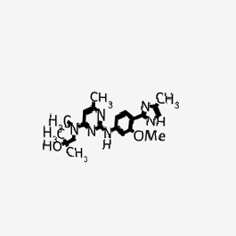 COc1cc(Nc2nc(C)cc(N(C)CC(C)(C)O)n2)ccc1-c1nc(C)c[nH]1